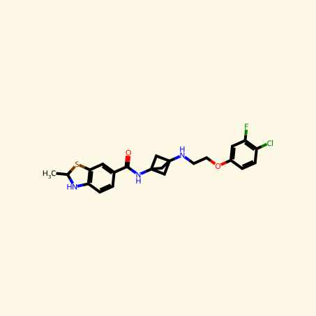 CC1Nc2ccc(C(=O)NC34CC(NCCOc5ccc(Cl)c(F)c5)(C3)C4)cc2S1